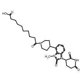 Cn1c(=O)n(C2CCC(=O)NC2=O)c2cccc(C3CCN(C(=O)CCCCCCCCC(=O)O)CC3)c21